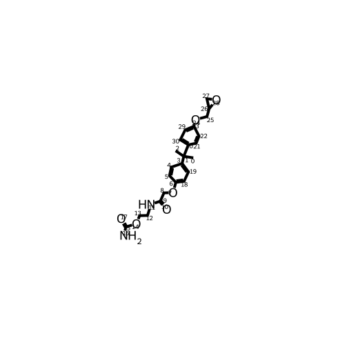 CC(C)(c1ccc(OCC(=O)NCCOC(N)=O)cc1)c1ccc(OCC2CO2)cc1